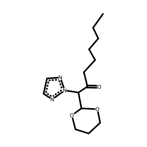 CCCCCCC(=O)C(C1OCCCO1)n1nccn1